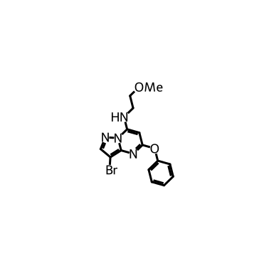 COCCNc1cc(Oc2ccccc2)nc2c(Br)cnn12